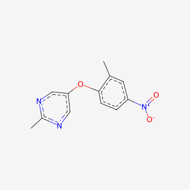 Cc1ncc(Oc2ccc([N+](=O)[O-])cc2C)cn1